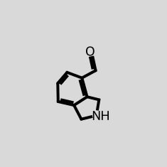 O=Cc1cccc2c1CNC2